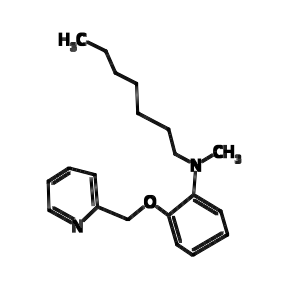 CCCCCCCN(C)c1ccccc1OCc1ccccn1